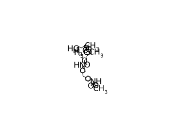 COC(=O)Nc1ccc(Cc2ccc(NC(=O)OCCC[Si](C)(C)O[Si](C)(C)CCCO)cc2)cc1